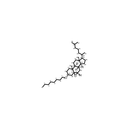 CCCCCCCCO[C@H]1CC[C@]2(C)[C@H]3CC[C@]4(C)[C@@H](C(C)CCCC(C)C)CC[C@H]4[C@@H]3C[C@@H]3OC32C1